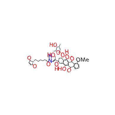 COc1cccc2c1C(=O)c1c(O)c3c(c(O)c1C2=O)C[C@](O)(/C(=C/NC(=O)CCCCCC1C(=O)C=CC1=O)CO)C[C@@H]3OC1CC(C)C(O)C(C)O1